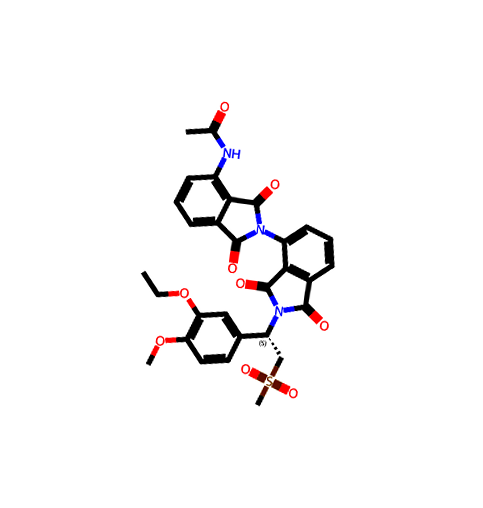 CCOc1cc([C@@H](CS(C)(=O)=O)N2C(=O)c3cccc(N4C(=O)c5cccc(NC(C)=O)c5C4=O)c3C2=O)ccc1OC